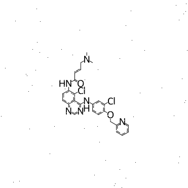 CN(C)C/C=C/C(=O)Nc1ccc2ncnc(Nc3ccc(OCc4ccccn4)c(Cl)c3)c2c1Cl